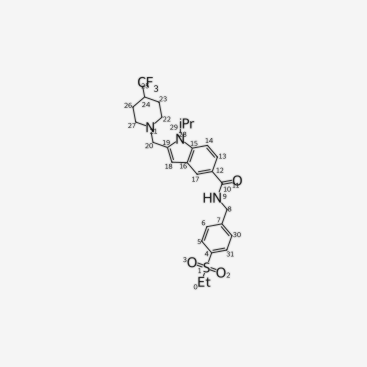 CCS(=O)(=O)c1ccc(CNC(=O)c2ccc3c(c2)cc(CN2CCC(C(F)(F)F)CC2)n3C(C)C)cc1